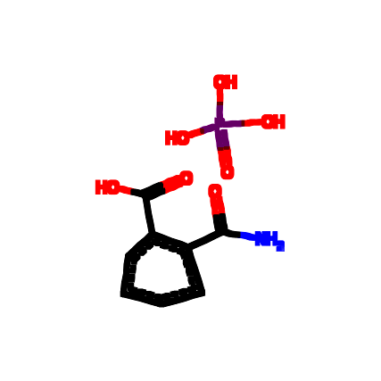 NC(=O)c1ccccc1C(=O)O.O=P(O)(O)O